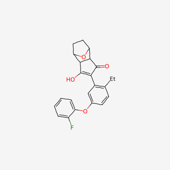 CCc1ccc(Oc2ccccc2F)cc1C1=C(O)C2C3CCC(O3)C2C1=O